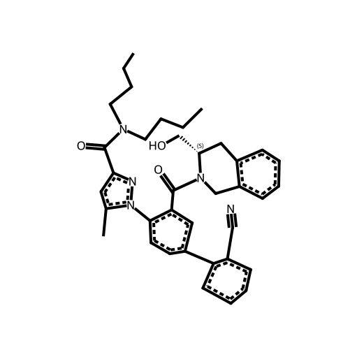 CCCCN(CCCC)C(=O)c1cc(C)n(-c2ccc(-c3ccccc3C#N)cc2C(=O)N2Cc3ccccc3C[C@H]2CO)n1